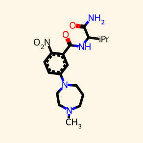 CC(C)C(NC(=O)c1cc(N2CCCN(C)CC2)ccc1[N+](=O)[O-])C(N)=O